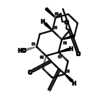 C=C1C(=O)[C@]23CC[C@H]1C[C@H]2[C@@]12CCC[C@@](C)(CCOCC1=O)[C@H]2C[C@H]3O